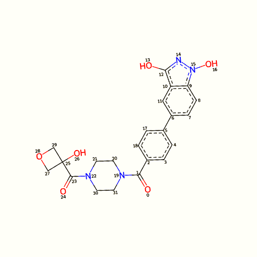 O=C(c1ccc(-c2ccc3c(c2)c(O)nn3O)cc1)N1CCN(C(=O)C2(O)COC2)CC1